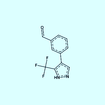 O=Cc1cccc(-c2cn[nH]c2C(F)(F)F)c1